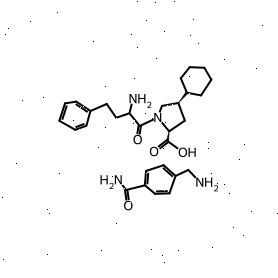 NC(CCc1ccccc1)C(=O)N1C[C@@H](C2CCCCC2)C[C@H]1C(=O)O.NCc1ccc(C(N)=O)cc1